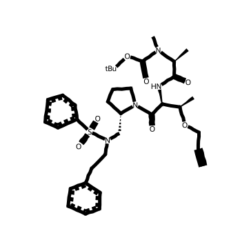 C#CCO[C@H](C)[C@H](NC(=O)[C@H](C)N(C)C(=O)OC(C)(C)C)C(=O)N1CCC[C@H]1CN(CCc1ccccc1)S(=O)(=O)c1ccccc1